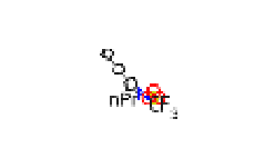 CCCC(=NOS(=O)(=O)C(F)(F)F)c1ccc(-c2ccc(-c3ccccc3)cc2)cc1